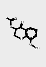 CC(=O)OC1COc2c(OO)cccc2C1=O